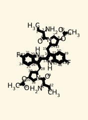 CC[C@H](N)C(=O)N1C[C@@H](OC(C)=O)CC1Cc1c(-c2[nH]c3cc(F)ccc3c2C[C@@H]2C[C@H](OC(C)=O)CN2C(=O)[C@@H](N)CC)[nH]c2cc(F)ccc12